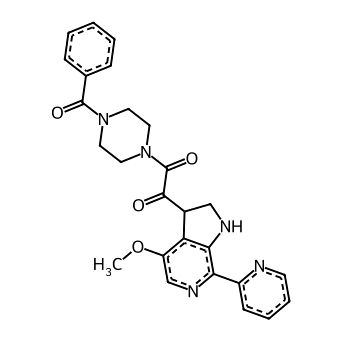 COc1cnc(-c2ccccn2)c2c1C(C(=O)C(=O)N1CCN(C(=O)c3ccccc3)CC1)CN2